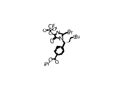 CC(C)OC(=O)c1ccc([C@@H](CCC(C)(C)C)N2C(=O)C(OS(=O)(=O)C(F)(F)F)=NC2C(C)C)cc1